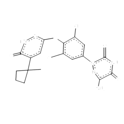 CC1(c2cc(Oc3c(Cl)cc(-n4nc(N)c(=O)[nH]c4=O)cc3Cl)n[nH]c2=O)CCC1